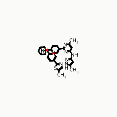 Cc1cc(Nc2cc(C)[nH]n2)nc(-c2ccc(N3CC4CC(C3)N4Cc3ccc(-c4ncc(C)s4)cn3)nc2)n1